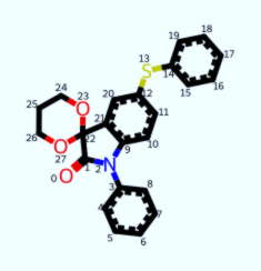 O=C1N(c2ccccc2)c2ccc(Sc3ccccc3)cc2C12OCCCO2